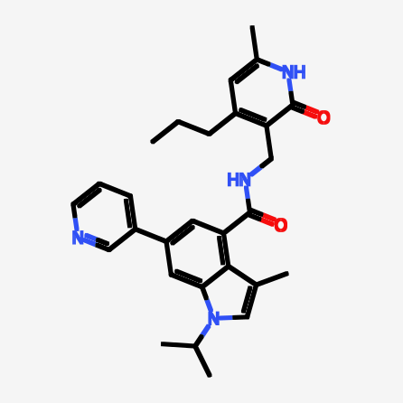 CCCc1cc(C)[nH]c(=O)c1CNC(=O)c1cc(-c2cccnc2)cc2c1c(C)cn2C(C)C